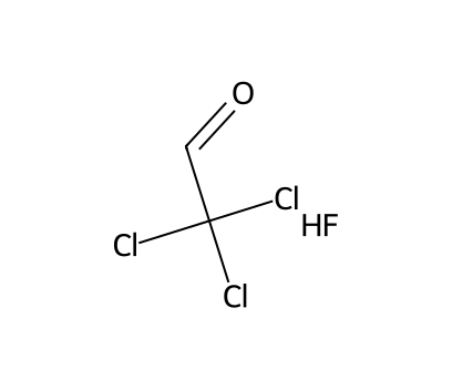 F.O=CC(Cl)(Cl)Cl